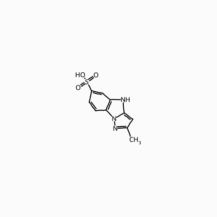 Cc1cc2[nH]c3cc(S(=O)(=O)O)ccc3n2n1